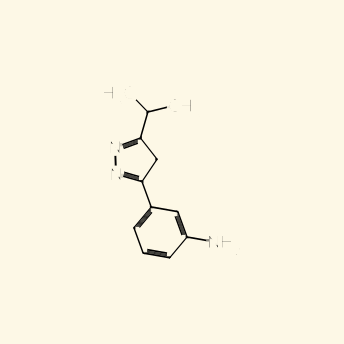 CC(C)C1=NN=C(c2cccc(N)c2)C1